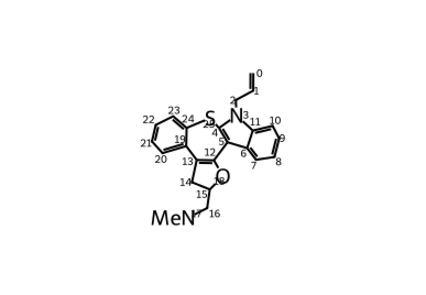 C=CCn1c2c(c3ccccc31)C1=C(CC(CNC)O1)c1ccccc1S2